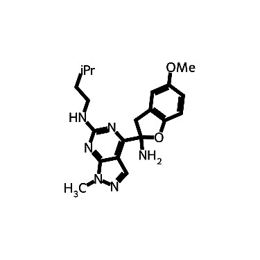 COc1ccc2c(c1)CC(N)(c1nc(NCCC(C)C)nc3c1cnn3C)O2